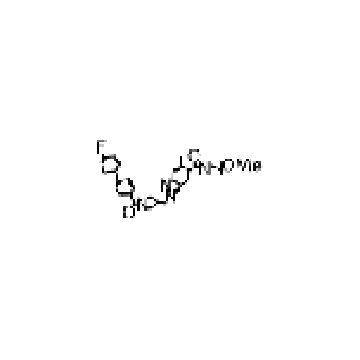 COCCNC(=O)c1cc2cn(CC3CN(C(=O)c4ccc(-c5ccc(F)cc5)cc4)C3)nc2cc1C